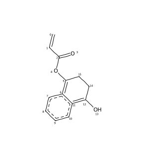 C=CC(=O)OC1=c2ccccc2=C(O)CC1